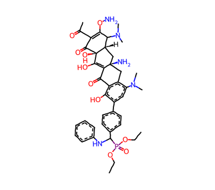 CCOP(=O)(OCC)C(Nc1ccccc1)c1ccc(-c2cc(N(C)C)c3c(c2O)C(=O)C2=C(O)[C@]4(O)C(=O)C(C(C)=O)=C(ON)C(N(C)C)[C@@H]4C[C@]2(N)C3)cc1